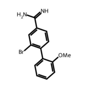 COc1ccccc1-c1ccc(C(=N)N)cc1Br